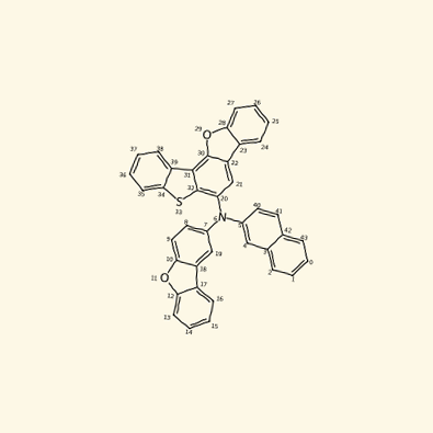 c1ccc2cc(N(c3ccc4oc5ccccc5c4c3)c3cc4c5ccccc5oc4c4c3sc3ccccc34)ccc2c1